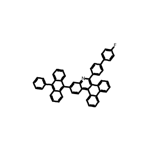 Fc1ccc(-c2ccc(-c3nc4cc(-c5c6ccccc6c(-c6ccccc6)c6ccccc56)ccc4c4c5ccccc5c5ccccc5c34)cc2)cc1